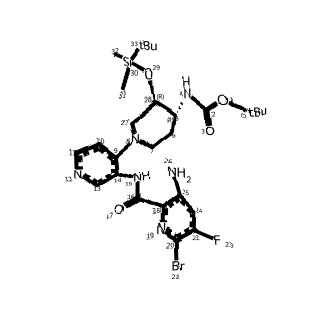 CC(C)(C)OC(=O)N[C@@H]1CCN(c2ccncc2NC(=O)c2nc(Br)c(F)cc2N)C[C@H]1O[Si](C)(C)C(C)(C)C